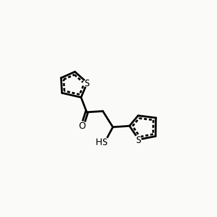 O=C(CC(S)c1cccs1)c1cccs1